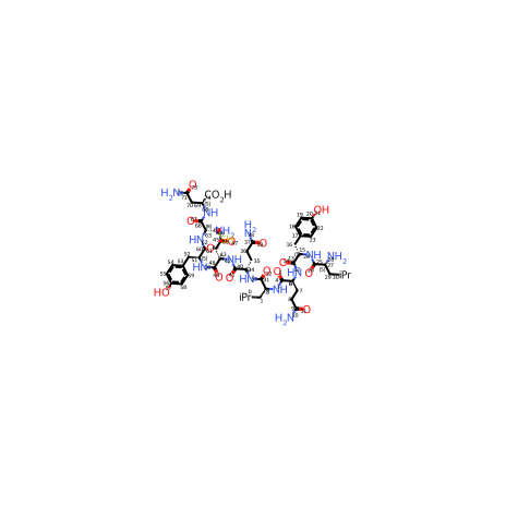 CC(C)C[C@H](NC(=O)[C@H](CCC(N)=O)NC(=O)[C@H](Cc1ccc(O)cc1)NC(=O)[C@@H](N)CC(C)C)C(=O)N[C@@H](CCC(N)=O)C(=O)N[C@@H](CC(N)=O)C(=O)N[C@@H](Cc1ccc(O)cc1)C(=O)N[C@@H](CS)C(=O)N[C@@H](CC(N)=O)C(=O)O